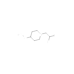 CC(C)OC1CCN(CC(F)F)CC1